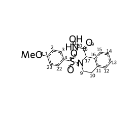 COc1ccc(S(=O)(=O)N2CCc3ccccc3C2C(=O)NO)cc1